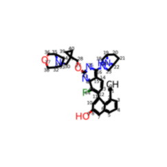 C#Cc1cccc2cc(O)cc(-c3ccc4c(N5CC6CCC(C5)N6)nc(OCC5(CN6C7CCC6COC7)CC5)nc4c3F)c12